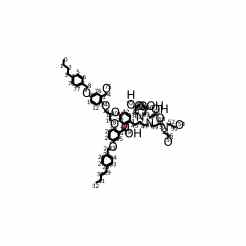 CCCCc1ccc(COc2ccc(OCC(COc3ccc(OCc4ccc(CCCC)cc4)cc3C(=O)O)Oc3ccc(CC(CN(CCN(CC=O)CC=O)CC(=O)O)N(CC(=O)O)CC(=O)O)cc3)c(C=O)c2)cc1